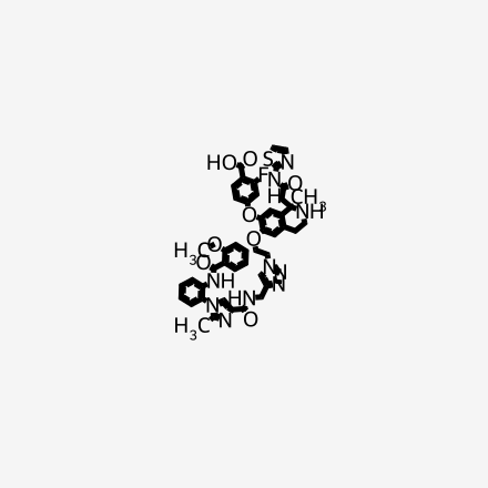 COc1ccccc1C(=O)Nc1ccccc1-n1cc(C(=O)NCc2cn(CCOc3cc4c(cc3Oc3ccc(C(=O)O)c(F)c3)[C@@](C)(CC(=O)Nc3nccs3)NCC4)nn2)nc1C